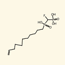 C=CCCCCCCCCCP(=O)(O)C(F)P(=O)(O)O